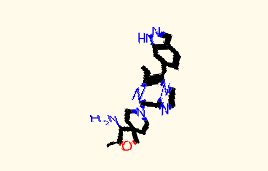 Cc1nc(N2CCC3(CC2)CO[C@@H](C)[C@H]3N)c2nccn2c1-c1ccc2cn[nH]c2c1